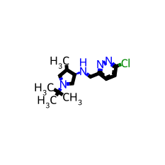 CC1CN(C(C)(C)C)C[C@@H]1NCc1ccc(Cl)nn1